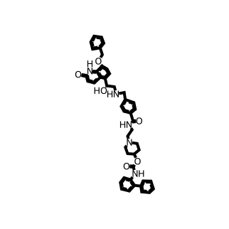 O=C(Nc1ccccc1-c1ccccc1)OC1CCN(CCNC(=O)c2ccc(CNC[C@H](O)c3ccc(OCc4ccccc4)c4[nH]c(=O)ccc34)cc2)CC1